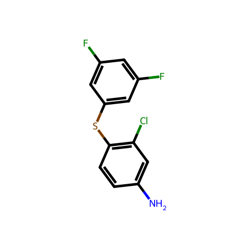 Nc1ccc(Sc2cc(F)cc(F)c2)c(Cl)c1